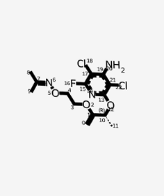 C=C(OCCON=C(C)C)[C@@H](C)Oc1nc(F)c(Cl)c(N)c1Cl